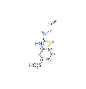 C=CC[N+]=c1[nH]c2cc(S(=O)(=O)O)ccc2s1